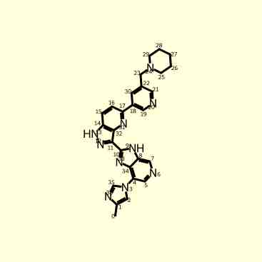 Cc1cn(-c2cncc3[nH]c(-c4n[nH]c5ccc(-c6cncc(CN7CCCCC7)c6)nc45)nc23)cn1